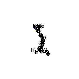 CN/C=N\C(=N)c1ccc(C2=CCN(C(=O)CN3CC[C@]4(CCN(c5ccc(N)c(C(=N)c6ccc(OC7CCC7)nc6)n5)C4=O)C3)CC2)cc1